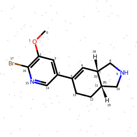 COc1cc(C2=C[C@@H]3CNC[C@@H]3CC2)cnc1Br